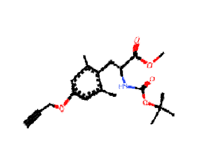 C#CCOc1cc(C)c(C[C@H](NC(=O)OC(C)(C)C)C(=O)OC)c(C)c1